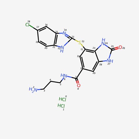 Cl.Cl.NCCCNC(=O)c1cc(Sc2nc3cc(Cl)ccc3[nH]2)c2[nH]c(=O)[nH]c2c1